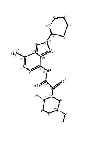 CC[C@@H]1CC[C@H](C)N(C(=O)C(=O)Nc2cnc(N)c3cn(C4CCCCO4)nc23)C1